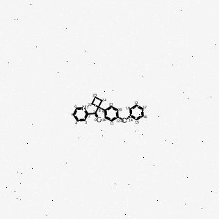 O=C(c1ccccn1)C1(c2ccc(Oc3ccccc3)cc2)CCC1